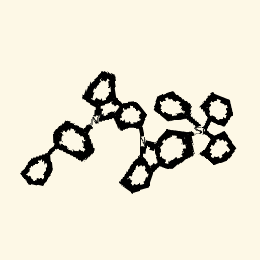 c1ccc(-c2ccc(-n3c4ccccc4c4ccc(-n5c6ccccc6c6ccc([Si](c7ccccc7)(c7ccccc7)c7ccccc7)cc65)cc43)cc2)cc1